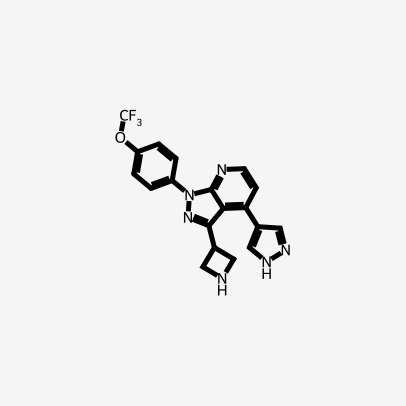 FC(F)(F)Oc1ccc(-n2nc(C3CNC3)c3c(-c4cn[nH]c4)ccnc32)cc1